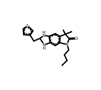 CCCCN1C(=O)C(C)(C)c2cc3c(cc21)NC(Cc1ccsc1)N3